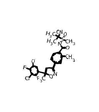 Cc1cc(C2=NOC(c3cc(Cl)c(F)c(Cl)c3)(C(F)(F)F)C2)ccc1C(=O)N=S(C)(=O)C(C)(C)C#N